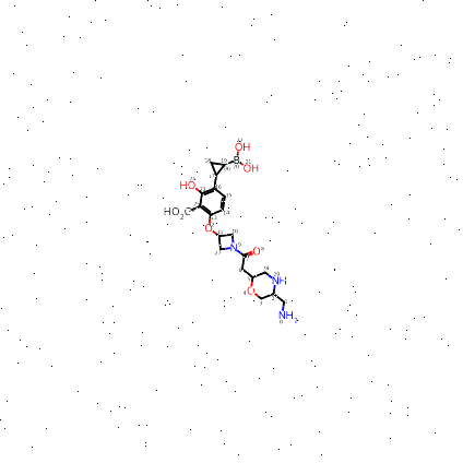 NCC1COC(CC(=O)N2CC(Oc3ccc(C4C[C@H]4B(O)O)c(O)c3C(=O)O)C2)CN1